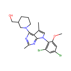 COc1cc(Br)cc(Br)c1-n1cc(C)c2c(N3CCCC(CO)C3)nc(C)nc21